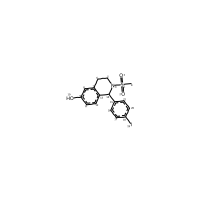 CS(=O)(=O)N1CCc2cc(O)ccc2C1c1ccc(I)cc1